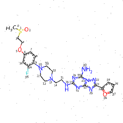 C[S+]([O-])CCOc1ccc(N2CCN(CCNc3nc(N)n4nc(-c5ccco5)nc4n3)CC2)c(F)c1